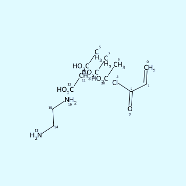 C=CC(=O)Cl.CC(=O)O.CC(=O)O.CC(=O)O.CC(=O)O.NCCN